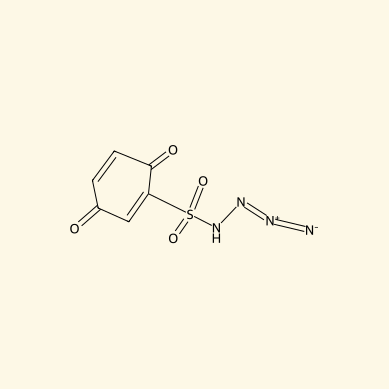 [N-]=[N+]=NNS(=O)(=O)C1=CC(=O)C=CC1=O